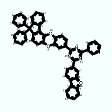 c1ccc(-c2nc(-c3ccc4c(c3)Oc3ccc5c(c3O4)-c3ccccc3C5(c3ccccc3)c3ccccc3)nc(-c3ccc4c(c3)oc3ccccc34)n2)cc1